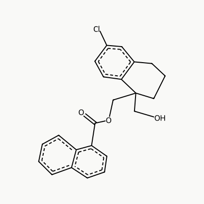 O=C(OCC1(CO)CCCc2cc(Cl)ccc21)c1cccc2ccccc12